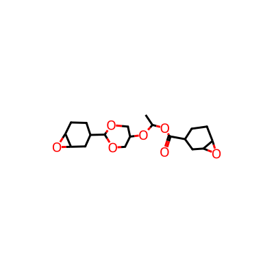 CC(OC(=O)C1CCC2OC2C1)OC1COC(C2CCC3OC3C2)OC1